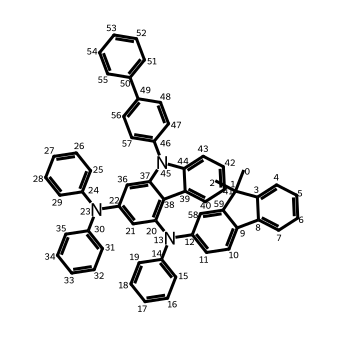 CC1(C)c2ccccc2-c2ccc(N(c3ccccc3)c3cc(N(c4ccccc4)c4ccccc4)cc4c3c3ccccc3n4-c3ccc(-c4ccccc4)cc3)cc21